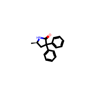 C[C@@H]1CC(c2ccccc2)(c2ccccc2)C(=O)N1